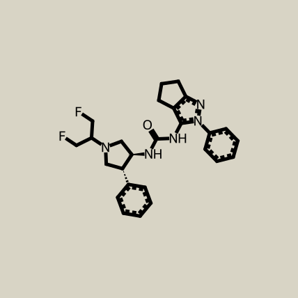 O=C(Nc1c2c(nn1-c1ccccc1)CCC2)N[C@@H]1CN(C(CF)CF)C[C@H]1c1ccccc1